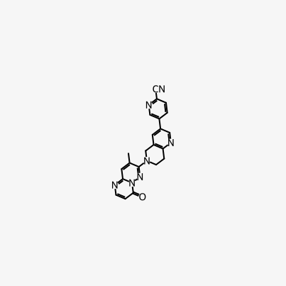 Cc1cc2nccc(=O)n2nc1N1CCc2ncc(-c3ccc(C#N)nc3)cc2C1